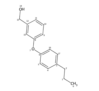 CCCc1ccc(Oc2cccc(CO)c2)cc1